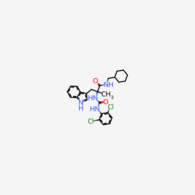 CC(Cc1c[nH]c2ccccc12)(NC(=O)Nc1c(Cl)cccc1Cl)C(=O)NCC1CCCCC1